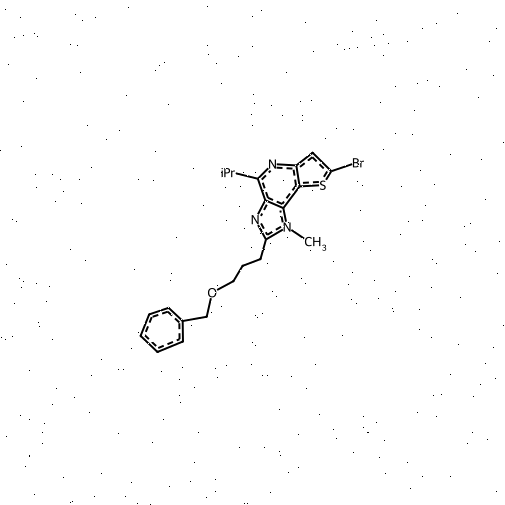 CC(C)c1nc2cc(Br)sc2c2c1nc(CCCOCc1ccccc1)n2C